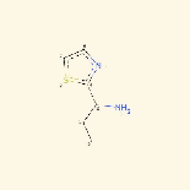 CCC(N)c1nccs1